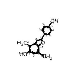 Bc1cc(O)c(C)c2cc(-c3ccc(O)cc3)oc12